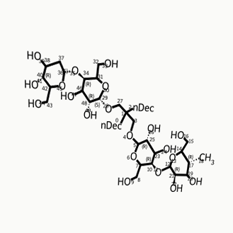 CCCCCCCCCCC(CCCCCCCCCC)(COC1OC(CO)[C@H](OC2OC(CO)[C@H](C)C(O)[C@H]2O)C(O)[C@H]1O)CO[C@H]1OC(CO)[C@H](O[C@H]2CC(O)[C@@H](O)C(CO)O2)C(O)[C@H]1O